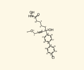 COCC#CC(O)(CCCCC(=O)NO)c1ccc(-c2ccc(Cl)cc2)cc1